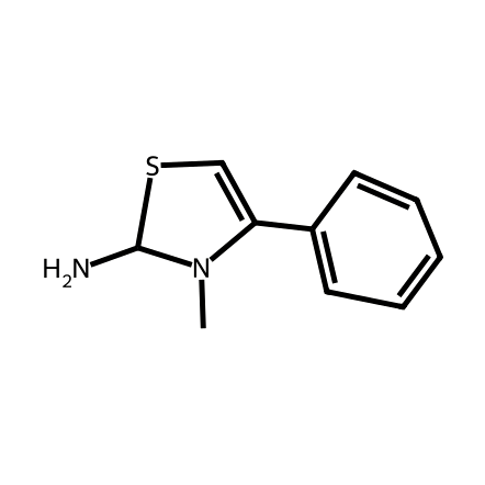 CN1C(c2ccccc2)=CSC1N